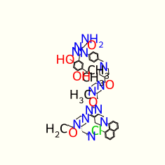 C=CC(=O)N1CCN(c2nc(OC[C@@H]3CN(C(=O)C4CCN(Cc5ccc(-n6c(C(N)=O)nnc6-c6cc(C(C)C)c(O)cc6O)cc5)CC4)CCN3C)nc3c2CCN(c2cccc4cccc(Cl)c24)C3)C[C@@H]1CC#N